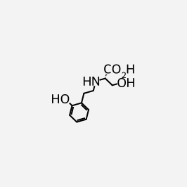 O=C(O)[C@H](CO)NCCc1ccccc1O